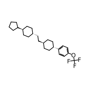 FC(F)(F)Oc1ccc([C@H]2CC[C@H](CC[C@H]3CC[C@H](C4CCCC4)CC3)CC2)cc1